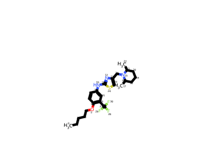 CCCCCOc1ccc(Nc2nc(CN3C(C)CCCC3C)cs2)cc1C(F)(F)F